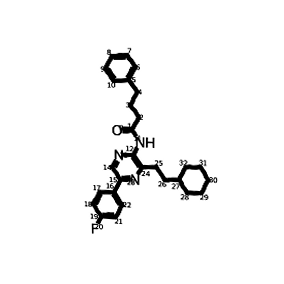 O=C(CCCc1ccccc1)Nc1ncc(-c2ccc(F)cc2)nc1CCC1CCCCC1